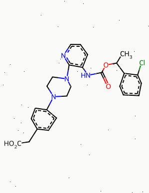 CC(OC(=O)Nc1cccnc1N1CCN(c2ccc(CC(=O)O)cc2)CC1)c1ccccc1Cl